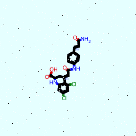 NC(=O)/C=C/c1ccc(NC(=O)/C=C2\CC(C(=O)O)Nc3cc(Cl)cc(Cl)c32)cc1